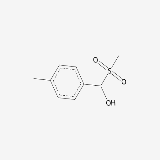 Cc1ccc(C(O)S(C)(=O)=O)cc1